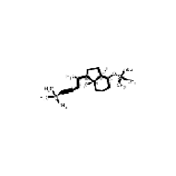 CCCC[Si](C)(C)O[C@H]1CCC[C@]2(C)[C@@H]([C@H](C)CC#C[Si](C)(C)C)CC[C@@H]12